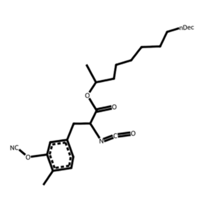 CCCCCCCCCCCCCCCCC(C)OC(=O)C(Cc1ccc(C)c(OC#N)c1)N=C=O